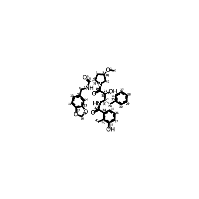 CO[C@@H]1C[C@@H](C(=O)NCc2ccc3c(c2)OCO3)N(C(=O)[C@@H](O)[C@H](Cc2ccccc2)NC(=O)c2cccc(O)c2C)C1